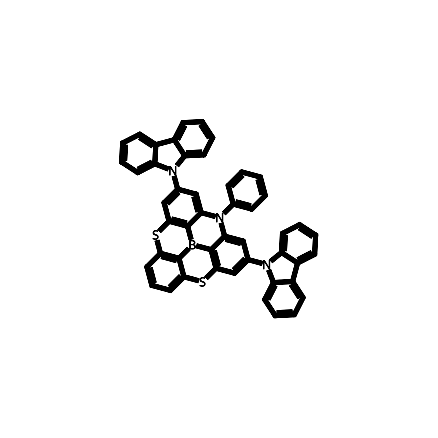 c1ccc(N2c3cc(-n4c5ccccc5c5ccccc54)cc4c3B3c5c(cccc5Sc5cc(-n6c7ccccc7c7ccccc76)cc2c53)S4)cc1